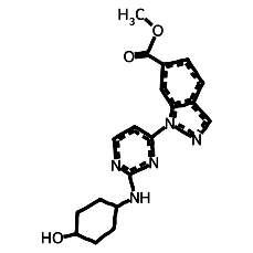 COC(=O)c1ccc2cnn(-c3ccnc(NC4CCC(O)CC4)n3)c2c1